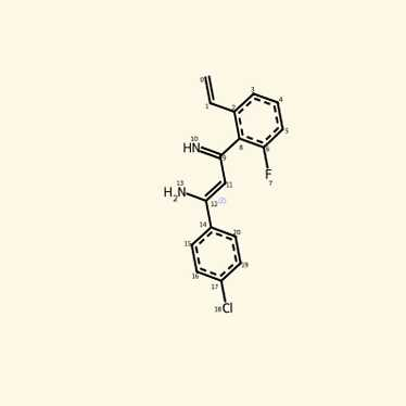 C=Cc1cccc(F)c1C(=N)/C=C(\N)c1ccc(Cl)cc1